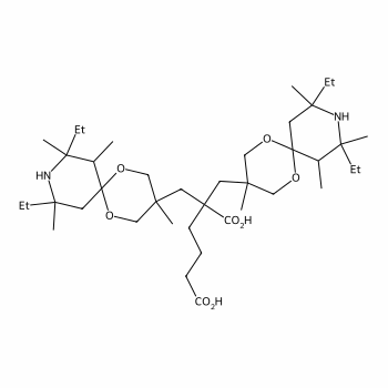 CCC1(C)CC2(OCC(C)(CC(CCCC(=O)O)(CC3(C)COC4(CC(C)(CC)NC(C)(CC)C4C)OC3)C(=O)O)CO2)C(C)C(C)(CC)N1